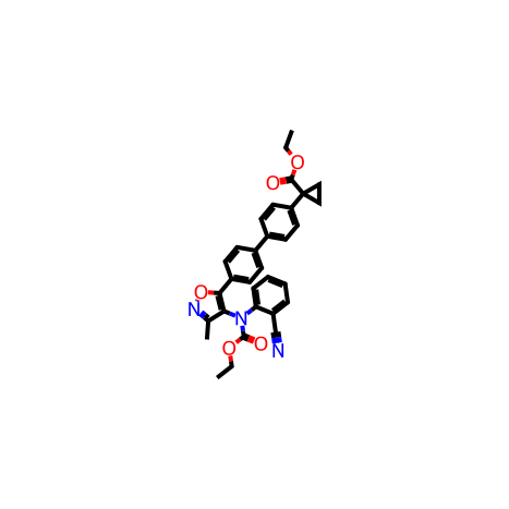 CCOC(=O)N(c1ccccc1C#N)c1c(C)noc1-c1ccc(-c2ccc(C3(C(=O)OCC)CC3)cc2)cc1